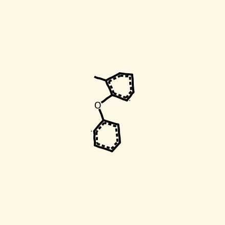 Cc1ccc[c]c1Oc1[c]cccc1